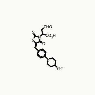 CCCC1CCN(c2ccc(C=C3SC(=S)N(C(CC=O)C(=O)O)C3=O)cc2)CC1